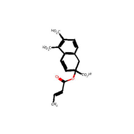 CC=CC(=O)OC1(C(=O)O)C=Cc2c(ccc(C(=O)O)c2C(=O)O)C1